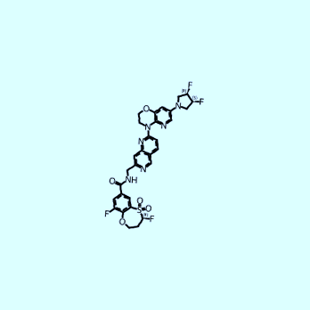 O=C(NCc1cc2nc(N3CCOc4cc(N5C[C@@H](F)[C@@H](F)C5)cnc43)ccc2cn1)c1cc(F)c2c(c1)S(=O)(=O)[C@@H](F)CCO2